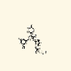 CC1CCC(N(CCc2cc(F)cc(Cl)c2)C(=O)Nc2ncc(SC(C)(C)C(=O)O)s2)CC1